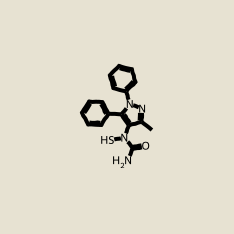 Cc1nn(-c2ccccc2)c(-c2ccccc2)c1N(S)C(N)=O